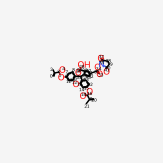 C=C(C)C(=O)Oc1ccc2c(c1)Oc1cc(OC(=O)C(=C)C)ccc1C21OC(O)c2cc(C(=O)ON3C(=O)CCC3=O)ccc21